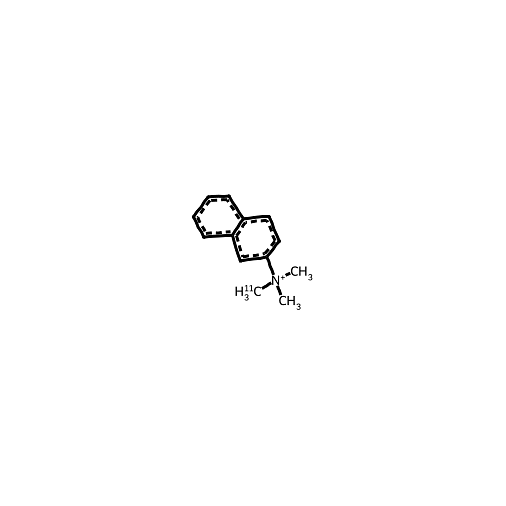 C[N+](C)([11CH3])c1ccc2ccccc2c1